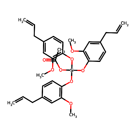 C=CCc1ccc(O[Si](OC(C)=O)(Oc2ccc(CC=C)cc2OC)Oc2ccc(CC=C)cc2OC)c(OC)c1